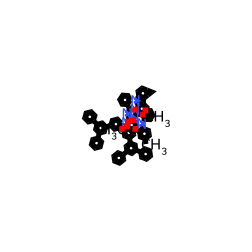 Cc1ccc2c(c1)c1cc(C)ccc1n2-c1ccccc1-c1nc(-c2ccccc2-n2c3ccc(C)cc3c3c4c(ccc32)C4)nc(-n2c3ccc(-c4cc(-c5ccccc5)cc(-c5ccccc5)c4)cc3c3cc(-c4cc(-c5ccccc5)cc(-c5ccccc5)c4)ccc32)n1